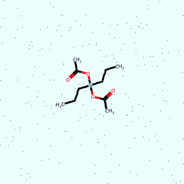 CCC[Si](CCC)(OC(C)=O)OC(C)=O